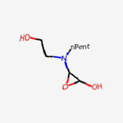 CCCCCN(CCO)C1OC1O